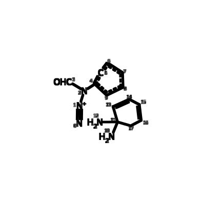 N#[N+]N(C=O)c1ccccc1.NC1(N)C=CC=CC1